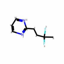 CC(F)(F)CCc1ncccn1